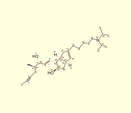 CC#CC[C@@H](C)[C@H](O)/C=C/[C@@H]1[C@H]2CC(CCCCCN(C(C)C)C(C)C)=C[C@H]2C[C@H]1O